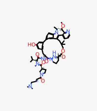 CCn1c(-c2cccnc2[C@H](C)OC)c2c3cc(ccc31)-c1cc(O)cc(c1)C[C@H](NC(=O)[C@H](C(C)C)N(C)C(=O)[C@H]1CCN(C(=O)/C=C/CN(C)C)C1)C(=O)N1CCC[C@H](N1)C(=O)OCC(C)(C)C2